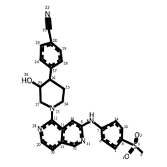 CS(=O)(=O)c1ccc(Nc2cc3c(N4CCC(c5ccc(C#N)cc5)C(O)C4)nccc3cn2)cc1